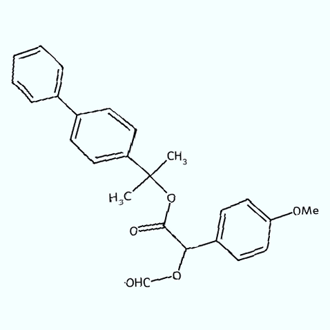 COc1ccc(C(O[C]=O)C(=O)OC(C)(C)c2ccc(-c3ccccc3)cc2)cc1